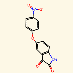 O=C1Nc2ccc(Oc3ccc([N+](=O)[O-])cc3)cc2C1=O